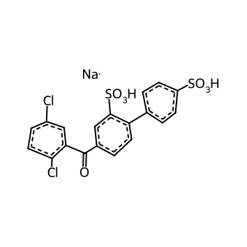 O=C(c1ccc(-c2ccc(S(=O)(=O)O)cc2)c(S(=O)(=O)O)c1)c1cc(Cl)ccc1Cl.[Na]